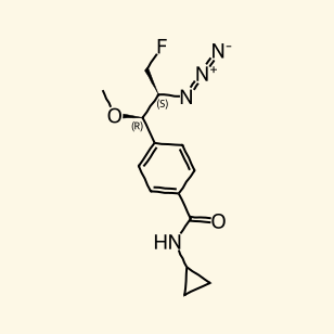 CO[C@H](c1ccc(C(=O)NC2CC2)cc1)[C@@H](CF)N=[N+]=[N-]